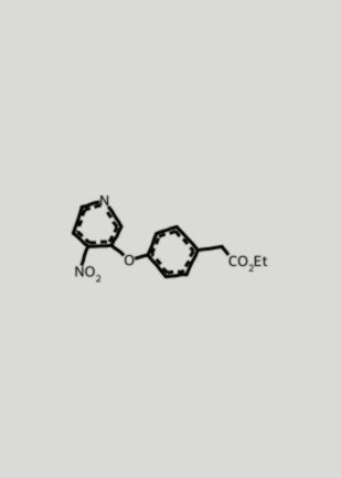 CCOC(=O)Cc1ccc(Oc2cnccc2[N+](=O)[O-])cc1